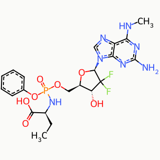 CC[C@H](NP(=O)(OC[C@H]1O[C@@H](n2cnc3c(NC)nc(N)nc32)C(F)(F)[C@@H]1O)Oc1ccccc1)C(=O)O